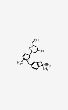 BC1(B)Cc2cc(Cc3cc(C4CC(O)CC(CO)O4)ccc3C)ccc21